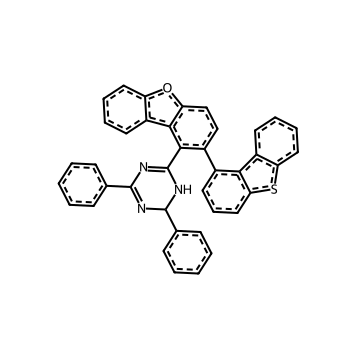 c1ccc(C2=NC(c3ccccc3)NC(c3c(-c4cccc5sc6ccccc6c45)ccc4oc5ccccc5c34)=N2)cc1